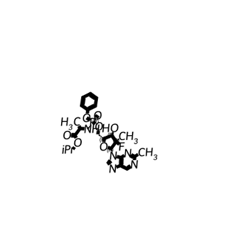 Cc1ncc2ncn([C@@H]3O[C@H](CO[P@](=O)(NC(C)C(=O)OC(C)C)Oc4ccccc4)[C@@H](O)[C@@]3(C)F)c2n1